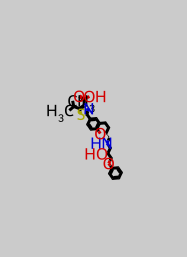 CC(C)c1sc(-c2ccc3c(c2)CC[C@H](CNC[C@H](O)COc2ccccc2)O3)nc1C(=O)O